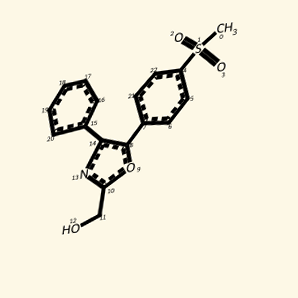 CS(=O)(=O)c1ccc(-c2oc(CO)nc2-c2ccccc2)cc1